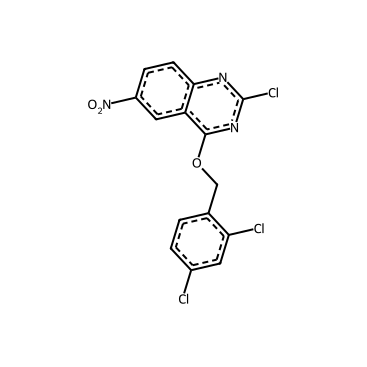 O=[N+]([O-])c1ccc2nc(Cl)nc(OCc3ccc(Cl)cc3Cl)c2c1